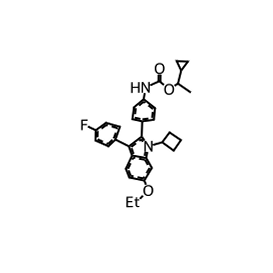 CCOc1ccc2c(-c3ccc(F)cc3)c(-c3ccc(NC(=O)OC(C)C4CC4)cc3)n(C3CCC3)c2c1